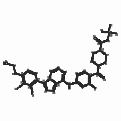 Cc1cc(Nc2nccn3c(-c4ccc(OCC#N)c(F)c4F)cnc23)ccc1C(=O)N1CCN(C(=O)C[N+](C)(C)C)CC1